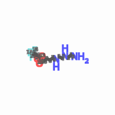 NCCNCCNCCCCS(=O)(=O)OCC(F)(F)F